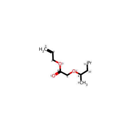 C=CCOC(=O)COC(C)CC(C)C